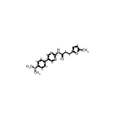 Cc1ccc(CCC(=O)Nc2ncc(-c3ccc(N(C)C)cc3)cn2)o1